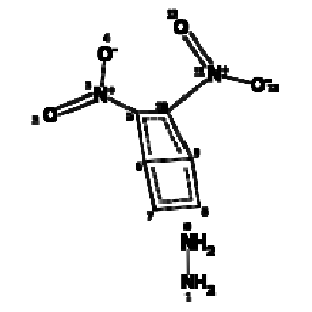 NN.O=[N+]([O-])c1c2ccc-2c1[N+](=O)[O-]